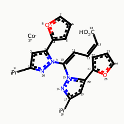 CC(C)c1cc(-c2ccco2)n(C(=CC=CC(=O)O)n2nc(C(C)C)cc2-c2ccco2)n1.[Co]